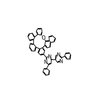 c1ccc(-c2cc(-c3cnc(-c4ccccc4)nc3)nc(-c3ccc4c(c3)-c3ccc5ccccc5c3Oc3ccccc3-c3ccccc3-c3ccccc3-4)n2)cc1